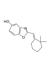 CC1(C)CCCCC1=Cc1nc2cc(O)ccc2o1